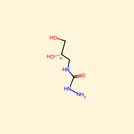 NNC(=O)NC[C@H](O)CO